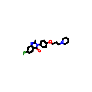 Cc1nc2cc(F)ccc2c(=O)n1-c1ccc(OCCCN2CCCCC2)cc1